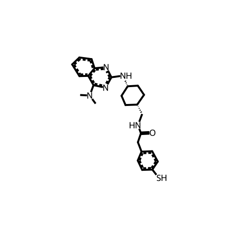 CN(C)c1nc(N[C@H]2CC[C@@H](CNC(=O)Cc3ccc(S)cc3)CC2)nc2ccccc12